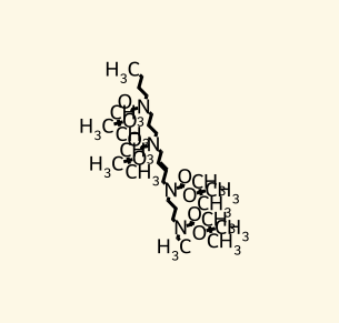 CCCCN(CCCN(CC=CCN(CCCN(CC)C(=O)OC(C)(C)C)C(=O)OC(C)(C)C)C(=O)OC(C)(C)C)C(=O)OC(C)(C)C